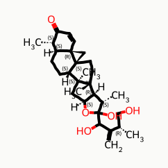 C=C(C(O)C1(O)O[C@H]2C[C@@]3(C)[C@@H]4CC[C@H]5[C@H](C)C(=O)C=C[C@@]56C[C@@]46CC[C@]3(C)[C@H]2[C@@H]1C)[C@@H](C)CO